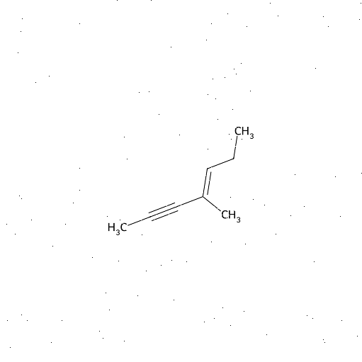 CC#CC(C)=CCC